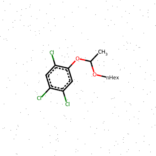 CCCCCCOC(C)Oc1cc(Cl)c(Cl)cc1Cl